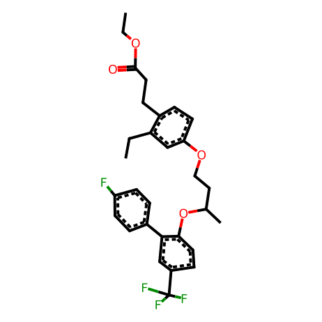 CCOC(=O)CCc1ccc(OCCC(C)Oc2ccc(C(F)(F)F)cc2-c2ccc(F)cc2)cc1CC